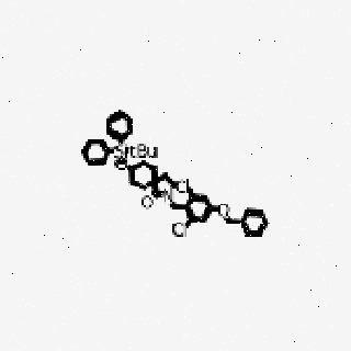 CC(C)(C)[Si](OC1CCC2(CC1)CCN(Cc1c(Cl)cc(OCc3ccccc3)cc1Cl)C2=O)(c1ccccc1)c1ccccc1